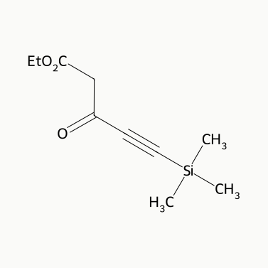 CCOC(=O)CC(=O)C#C[Si](C)(C)C